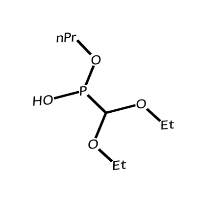 CCCOP(O)C(OCC)OCC